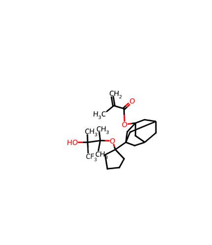 C=C(C)C(=O)OC12CC3CC(C1)CC(C1(OC(C)(C)C(C)(O)C(F)(F)F)CCCC1)(C3)C2